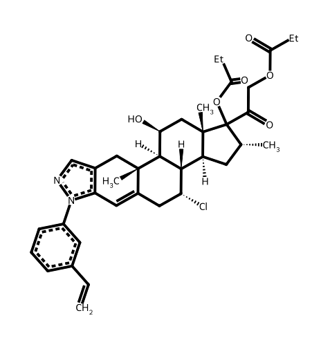 C=Cc1cccc(-n2ncc3c2C=C2C[C@@H](Cl)[C@@H]4[C@H]([C@@H](O)C[C@@]5(C)[C@H]4C[C@@H](C)C5(OC(=O)CC)C(=O)COC(=O)CC)[C@@]2(C)C3)c1